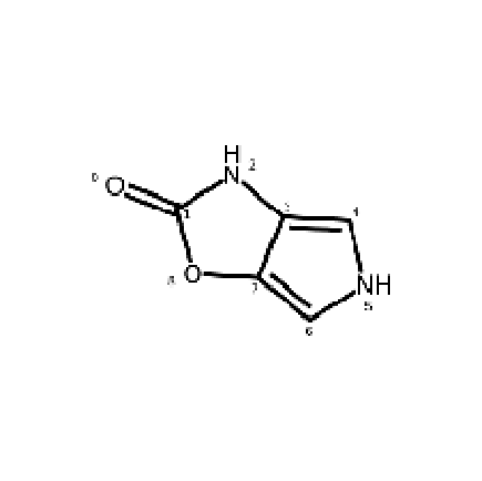 O=c1[nH]c2c[nH]cc2o1